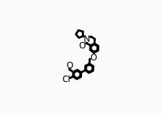 O=Cc1cc(-c2cccc(COc3ccc4c(c3)C(=O)N(C3CCCC3)CC4)c2)ccc1Cl